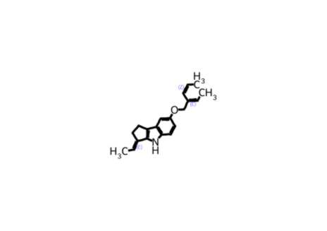 C/C=C\C(=C/C)COc1ccc2[nH]c3c(c2c1)CC/C3=C\C